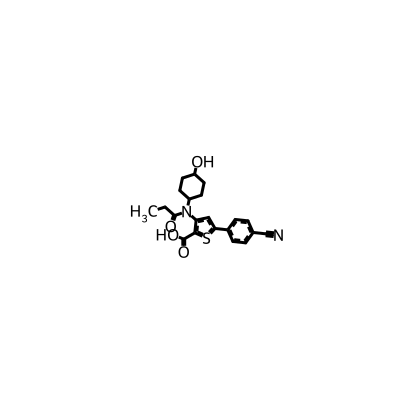 CCC(=O)N(c1cc(-c2ccc(C#N)cc2)sc1C(=O)O)C1CCC(O)CC1